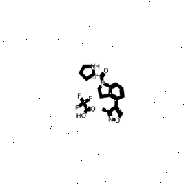 Cc1nocc1-c1cccc2c1CCN2C(=O)[C@@H]1CCCN1.O=C(O)C(F)(F)F